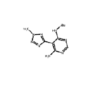 CC[C@H](C)Nc1ncnc(N)c1-c1nnn(C)n1